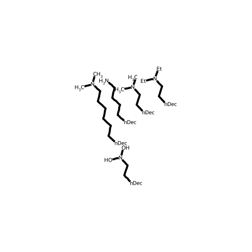 CCCCCCCCCCCCCCCCN(C)C.CCCCCCCCCCCCCCN.CCCCCCCCCCCCN(C)C.CCCCCCCCCCCCN(CC)CC.CCCCCCCCCCCCN(O)O